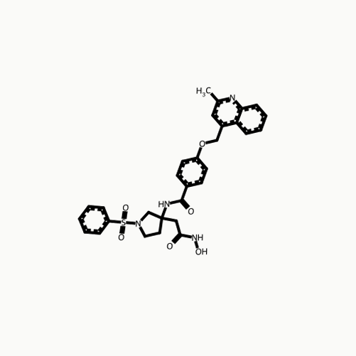 Cc1cc(COc2ccc(C(=O)NC3(CC(=O)NO)CCN(S(=O)(=O)c4ccccc4)C3)cc2)c2ccccc2n1